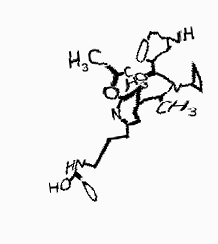 CC(C)Oc1cc(C(C)N(C(=O)C2CNCCO2)C2CC2)cc(CCCNC(=O)O)n1